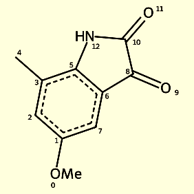 COc1cc(C)c2c(c1)C(=O)C(=O)N2